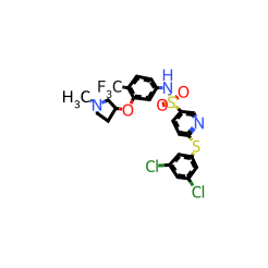 CN1CCC(Oc2cc(NS(=O)(=O)c3ccc(Sc4cc(Cl)cc(Cl)c4)nc3)ccc2C(F)(F)F)C1